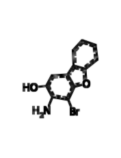 Nc1c(O)cc2c(oc3ccccc32)c1Br